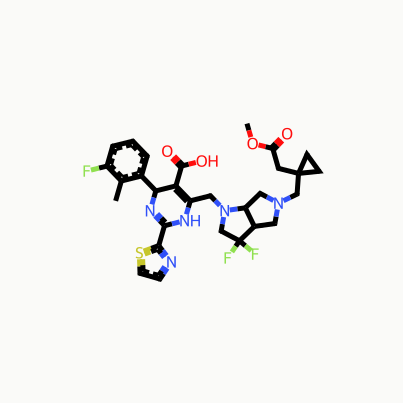 COC(=O)CC1(CN2CC3C(C2)C(F)(F)CN3CC2=C(C(=O)O)C(c3cccc(F)c3C)N=C(c3nccs3)N2)CC1